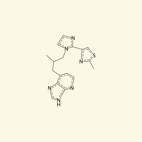 Cc1nc(-c2nccn2CC(C)Cc2ccnc3[nH]cnc23)cs1